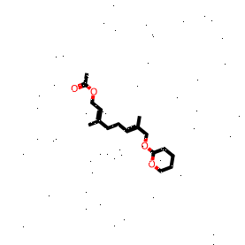 CC(=O)OCC=C(C)CCC=C(C)COC1CCCCO1